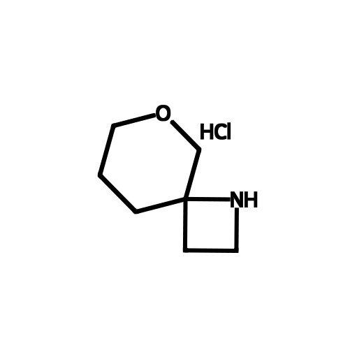 C1COCC2(C1)CCN2.Cl